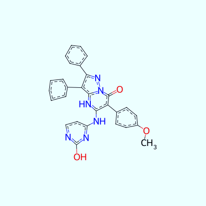 COc1ccc(-c2c(Nc3ccnc(O)n3)[nH]c3c(-c4ccccc4)c(-c4ccccc4)nn3c2=O)cc1